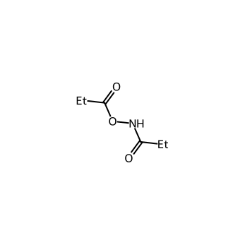 CCC(=O)NOC(=O)CC